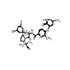 Cc1cc(Oc2ccc(C(=O)N[C@H](C)C(=O)N3[C@H](C4(C)C=C(Cl)C=C(F)C4)CC[C@@H]3C(C)(C)C#N)nc2C)c(=O)[nH]n1